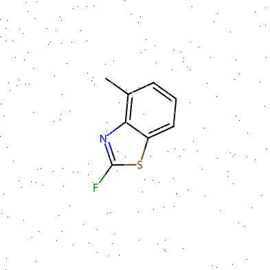 Cc1cccc2sc(F)nc12